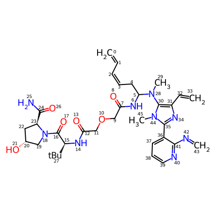 C=C/C=C\CC(NC(=O)COCC(=O)N[C@H](C(=O)N1C[C@H](O)C[C@H]1C(N)=O)C(C)(C)C)N(C)c1c(C=C)nc(-c2cccnc2N=C)n1C